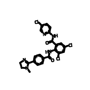 CN1CCN=C1c1ccc(C(=O)Nc2c(Cl)cc(Cl)cc2C(=O)Nc2ccc(Cl)cn2)cc1